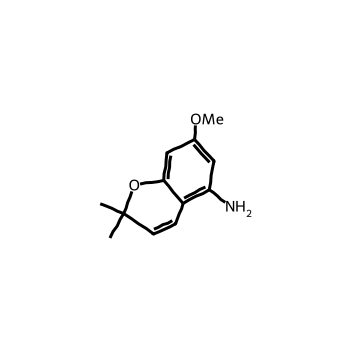 COc1cc(N)c2c(c1)OC(C)(C)C=C2